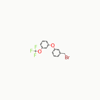 FC(F)(F)Oc1cccc(Oc2cccc(CBr)c2)c1